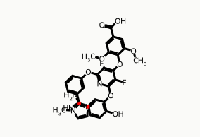 COc1cc(C(=O)O)cc(OC)c1Oc1c(F)c(Oc2cccc(-c3nccn3C)c2)nc(Oc2cc(C(=N)N)ccc2O)c1F